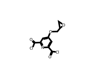 O=C(Cl)c1cc(OCC2CO2)cc(C(=O)Cl)n1